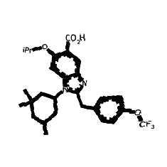 CC1CC(n2c(Cc3ccc(OC(F)(F)F)cc3)nc3cc(C(=O)O)c(OC(C)C)cc32)CC(C)(C)C1